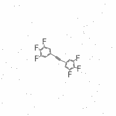 Fc1cc(C#Cc2cc(F)c(F)c(F)c2)cc(F)c1F